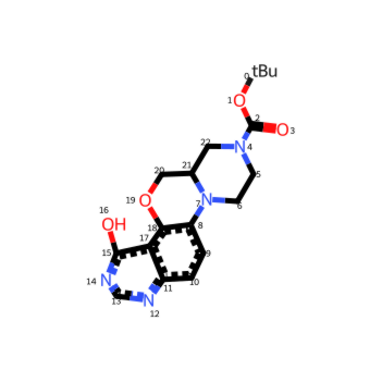 CC(C)(C)OC(=O)N1CCN2c3ccc4ncnc(O)c4c3OCC2C1